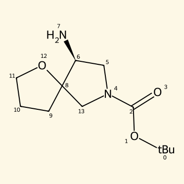 CC(C)(C)OC(=O)N1C[C@H](N)C2(CCCO2)C1